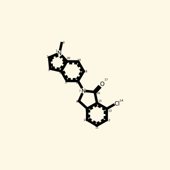 Cn1ccc2cc(N3Cc4cccc(Cl)c4C3=O)ccc21